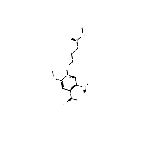 COC(=O)CCCOc1cc([N+](=O)[O-])c(C(=O)Cl)cc1OC